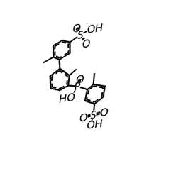 Cc1ccc(S(=O)(=O)O)cc1-c1cccc(P(=O)(O)c2cc(S(=O)(=O)O)ccc2C)c1C